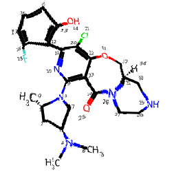 C[C@H]1C[C@H](N(C)C)CN1c1nc(-c2c(O)cccc2F)c(Cl)c2c1C(=O)N1CCNC[C@@H]1CO2